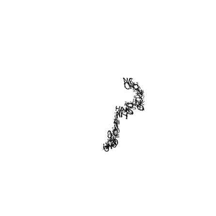 N#Cc1ccc(N2CCC3(CCN(C(=O)c4cccc(C(=O)NCCNCC5CN(c6ccc7c(c6)C(=O)N(C6CCC(=O)NC6=O)C7=O)C5)c4)CC3)C2)cc1Cl